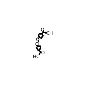 C#CC(=O)c1ccc(OCOc2ccc(C(=O)C#C)cc2)cc1